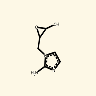 Nc1nccn1CC1OC1O